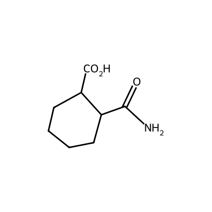 NC(=O)C1CCCCC1C(=O)O